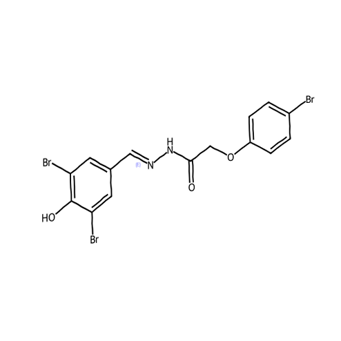 O=C(COc1ccc(Br)cc1)N/N=C/c1cc(Br)c(O)c(Br)c1